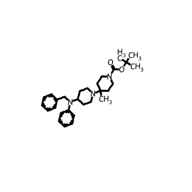 CC(C)(C)OC(=O)N1CCC(C)(N2CCC(N(Cc3ccccc3)c3ccccc3)CC2)CC1